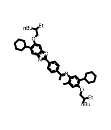 CCCCC(CC)COc1cc(C)c(/N=C(\C)c2ccc(-c3nc4cc(C5CCCCC5)c(OCC(CC)CCCC)cc4o3)cc2)cc1C1CCCCC1